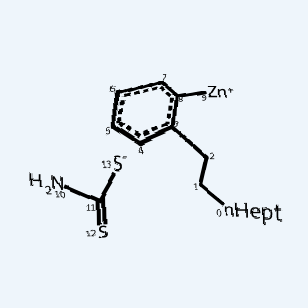 CCCCCCCCCc1cccc[c]1[Zn+].NC(=S)[S-]